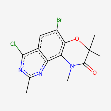 Cc1nc(Cl)c2cc(Br)c3c(c2n1)N(C)C(=O)C(C)(C)O3